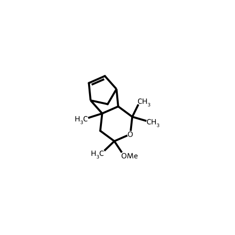 COC1(C)CC2(C)C3C=CC(C3)C2C(C)(C)O1